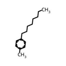 CCCCCCCCc1ccc(C)cc1